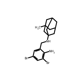 CC12CC3CC(C1)CC(NCc1cc(Br)cc(Br)c1N)(C3)C2